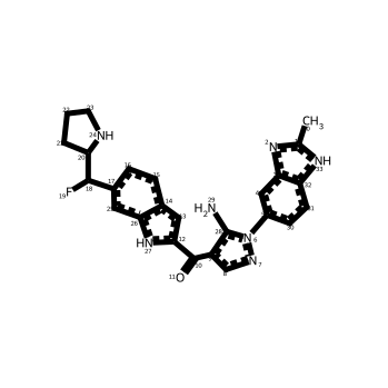 Cc1nc2cc(-n3ncc(C(=O)c4cc5ccc(C(F)C6CCCN6)cc5[nH]4)c3N)ccc2[nH]1